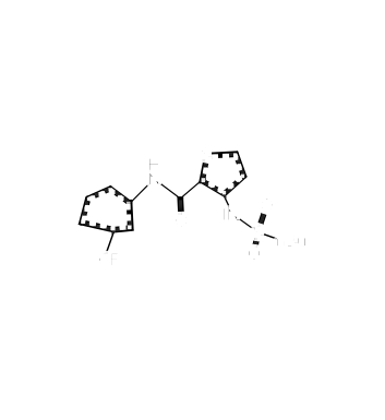 CCCCS(=O)(=O)Nc1ccsc1C(=O)Nc1cccc(C(F)(F)F)c1